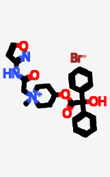 C[N+]1(CC(=O)Nc2ccon2)CCC(OC(=O)C(O)(c2ccccc2)c2ccccc2)CC1.[Br-]